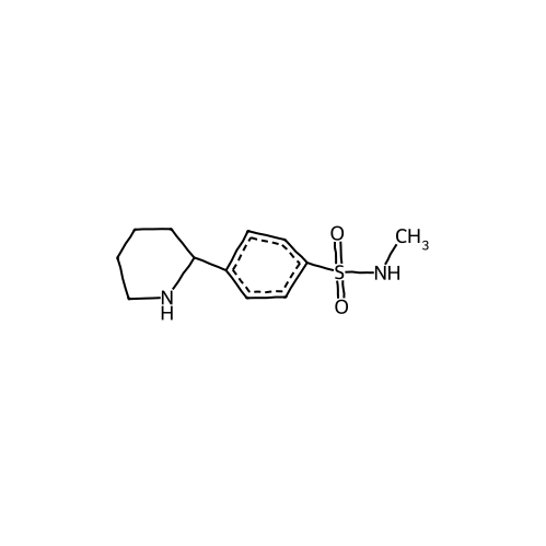 CNS(=O)(=O)c1ccc(C2CCCCN2)cc1